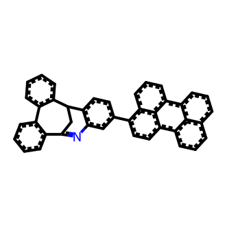 c1ccc2c(c1)C1=Nc3cc(-c4ccc5c6cccc7cccc(c8cccc4c85)c76)ccc3C(C1)c1ccccc1-2